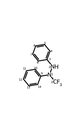 FC(F)(F)N(Nc1ccccc1)c1ccccc1